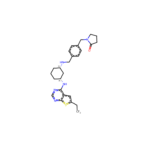 O=C1CCCN1Cc1ccc(CN[C@H]2CCC[C@@H](Nc3ncnc4sc(CC(F)(F)F)cc34)C2)cc1